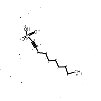 CCCCCCCCC#CS(=O)(=O)O